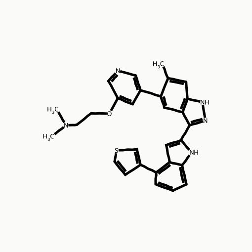 Cc1cc2[nH]nc(-c3cc4c(-c5ccsc5)cccc4[nH]3)c2cc1-c1cncc(OCCN(C)C)c1